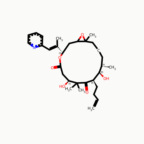 C=CCC[C@H]1C(=O)C(C)(C)[C@@H](O)CC(=O)O[C@H](C(C)=Cc2ccccn2)CC2OC2(C)CCC[C@H](C)[C@H]1O